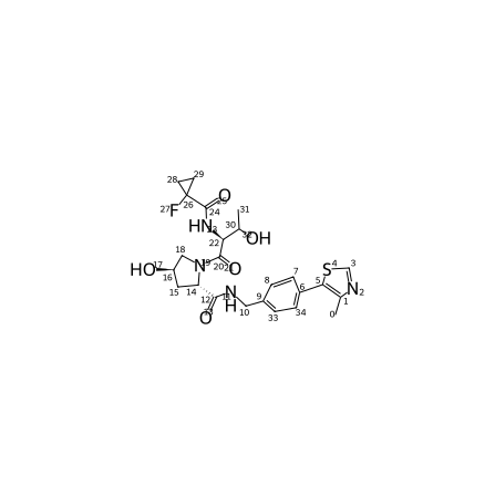 Cc1ncsc1-c1ccc(CNC(=O)[C@@H]2C[C@@H](O)CN2C(=O)[C@@H](NC(=O)C2(F)CC2)C(C)O)cc1